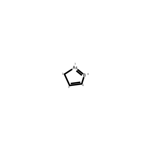 B1=[As]CC=[C]1